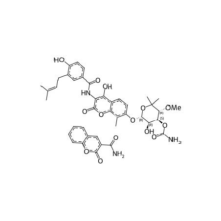 CO[C@@H]1[C@@H](OC(N)=O)[C@@H](O)[C@H](Oc2ccc3c(O)c(NC(=O)c4ccc(O)c(CC=C(C)C)c4)c(=O)oc3c2C)OC1(C)C.NC(=O)c1cc2ccccc2oc1=O